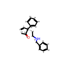 C=C[C@](CCNCc1ccccc1)(C(C)=O)c1ccccc1